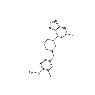 Cc1cc(C2CCCN(Cc3ccc(OC(F)(F)F)c(F)c3)C2)n2ncnc2n1